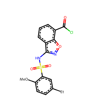 CCc1ccc(OC)c(S(=O)(=O)Nc2noc3c(C(=O)Cl)cccc23)c1